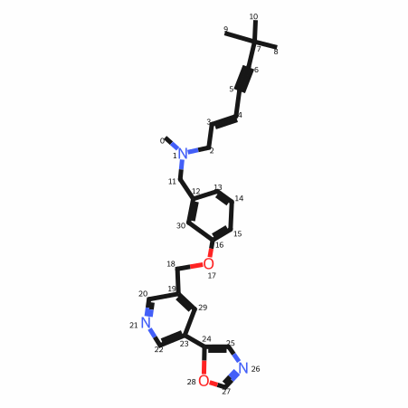 CN(CC=CC#CC(C)(C)C)Cc1cccc(OCc2cncc(-c3cnco3)c2)c1